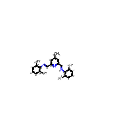 Cc1cc(C=Nc2c(C(C)C)cccc2C(C)C)nc(C=Nc2c(C(C)C)cccc2C(C)C)c1